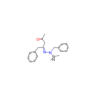 CC(=O)CC(Cc1ccccc1)=NN(Cc1ccccc1)[SiH](C)C